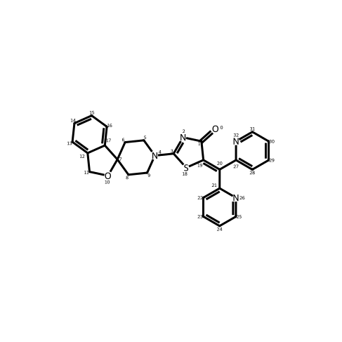 O=C1N=C(N2CCC3(CC2)OCc2ccccc23)SC1=C(c1ccccn1)c1ccccn1